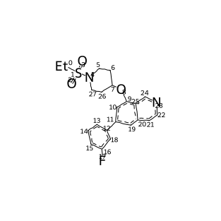 CCS(=O)(=O)N1CCC(Oc2cc(-c3cccc(F)c3)cc3ccncc23)CC1